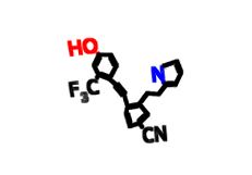 N#Cc1ccc(C#Cc2ccc(O)cc2C(F)(F)F)c(CCc2ccccn2)c1